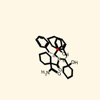 NC(=O)C1(C(=O)N([C@H](Cc2ccccc2)C2(O)CCCCC2)[C@H](Cc2ccccc2)C2(O)CCCCC2)CCCCC1